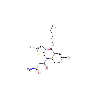 CCCCCC(=O)c1cc(C)ccc1N(C(=O)CC(N)=O)c1ncc(Br)s1